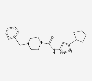 O=C(Nc1cc(C2CCCC2)n[nH]1)N1CCN(Cc2ccccc2)CC1